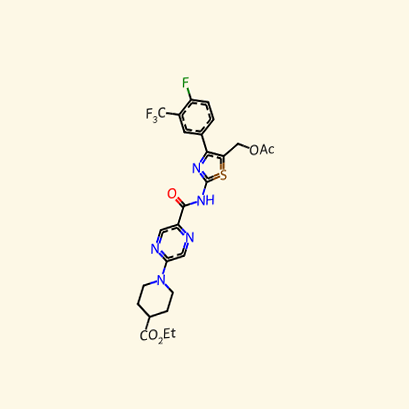 CCOC(=O)C1CCN(c2cnc(C(=O)Nc3nc(-c4ccc(F)c(C(F)(F)F)c4)c(COC(C)=O)s3)cn2)CC1